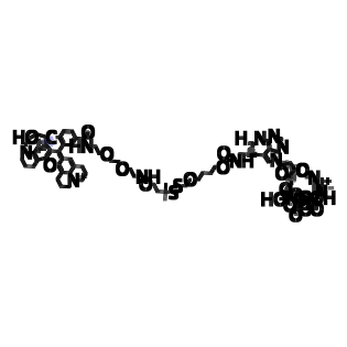 CC(C)(CCONCCOCCOCCNC(=O)c1ccc(C(=O)O)c(C2=c3cc4c5c(c3OC3=C2/C=C/CCCN2CCCC3=C2I)CCC[N+]=5CCC4)c1)SSCOCCCCOC(=O)NCC#Cc1cn([C@H]2C[C@H](OCN=[N+]=[N-])[C@@H](COP(=O)(O)OP(=O)(O)OP(=O)(O)O)O2)c2ncnc(N)c12